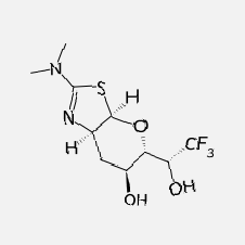 CN(C)C1=N[C@@H]2C[C@H](O)[C@@H]([C@@H](O)C(F)(F)F)O[C@@H]2S1